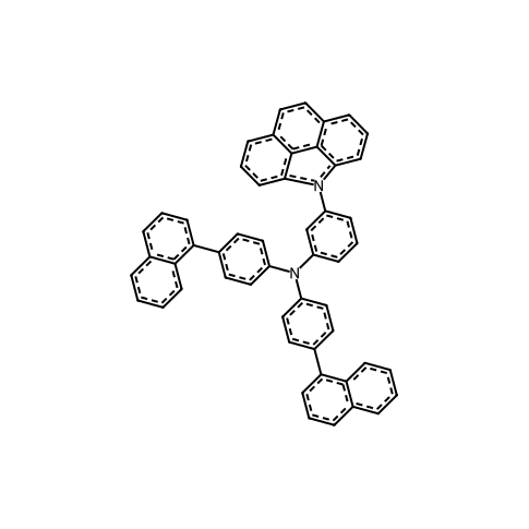 c1cc(N(c2ccc(-c3cccc4ccccc34)cc2)c2ccc(-c3cccc4ccccc34)cc2)cc(-n2c3cccc4ccc5cccc2c5c43)c1